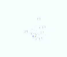 CCCCC(C)(CCC)c1nsc(C)c1C